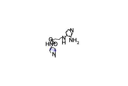 C=N/C=C\C(=C/C)NS(=O)(=O)CCCNc1ccncc1N